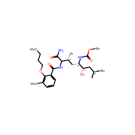 CCCC[C@@H](C)C[C@H](O)[C@H](C[C@@H](C(C)C)C(NC(=O)c1cccc(OC)c1OCCCOC)C(N)=O)NC(=O)OC(C)(C)C